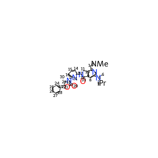 CNCc1nc(N(C)C(C)C)cc2c1CN(c1cccc(N3C(=O)O[C@H](c4ccccc4)[C@@H]3C)n1)C2=O